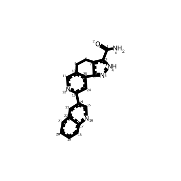 NC(=O)c1[nH]nc2c1CCc1cnc(-c3cnc4ccccc4c3)cc1-2